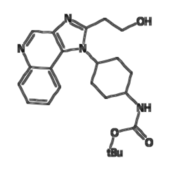 CC(C)(C)OC(=O)NC1CCC(n2c(CCO)nc3cnc4ccccc4c32)CC1